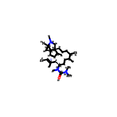 CC/C=C(\C)C[C@H](CCC(C)C(CC)CCC[C@]12CN(C)[C@H]3C[C@@]31CCC2C)N(C)C(=O)N(C(C)C)C(C)C